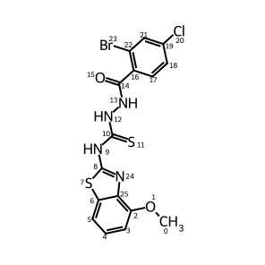 COc1cccc2sc(NC(=S)NNC(=O)c3ccc(Cl)cc3Br)nc12